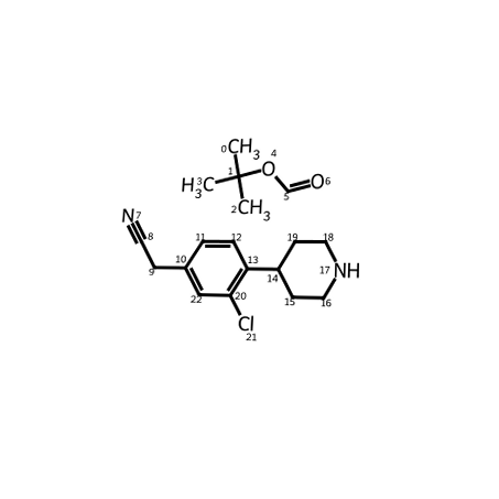 CC(C)(C)OC=O.N#CCc1ccc(C2CCNCC2)c(Cl)c1